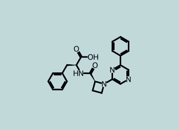 O=C(O)[C@H](Cc1ccccc1)NC(=O)[C@@H]1CCN1c1cncc(-c2ccccc2)n1